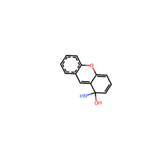 [NH]C1(O)C=CC=C2Oc3ccccc3C=C21